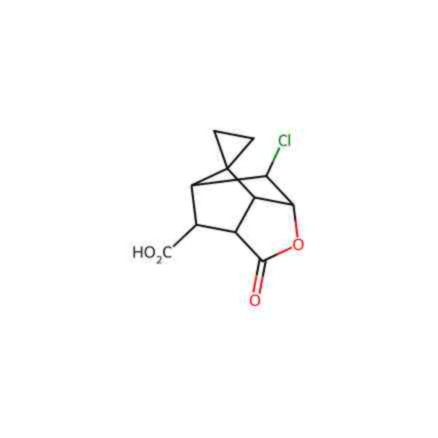 O=C(O)C1C2C(=O)OC3C(Cl)C1C1(CC1)C32